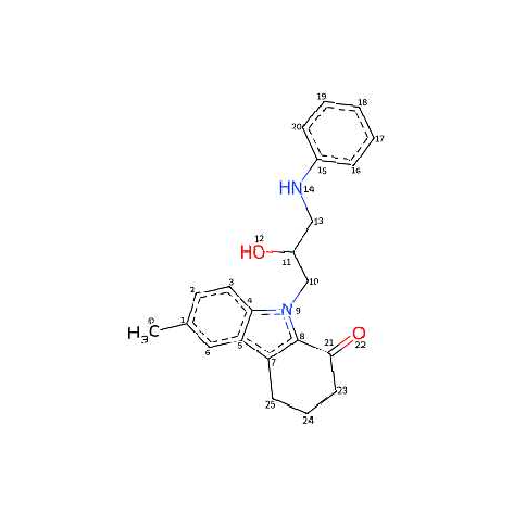 Cc1ccc2c(c1)c1c(n2CC(O)CNc2ccccc2)C(=O)CCC1